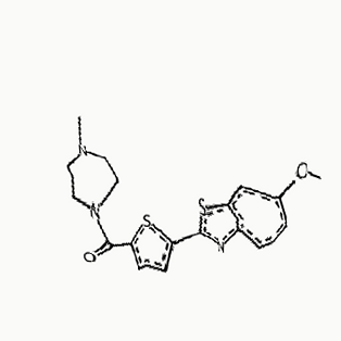 COc1ccc2nc(-c3ccc(C(=O)N4CCN(C)CC4)s3)sc2c1